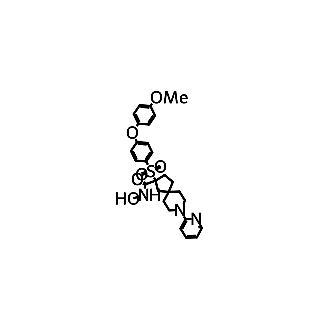 COc1ccc(Oc2ccc(S(=O)(=O)C3(C(=O)NO)CCC4(CCN(c5ccccn5)CC4)C3)cc2)cc1